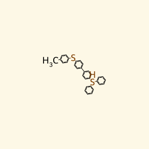 Cc1ccc(Sc2ccc(-c3ccc([SH](c4ccccc4)c4ccccc4)cc3)cc2)cc1